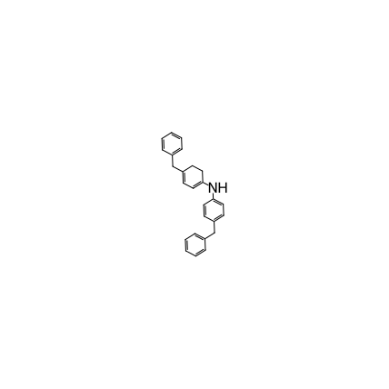 C1=C(Cc2ccccc2)CCC(Nc2ccc(Cc3ccccc3)cc2)=C1